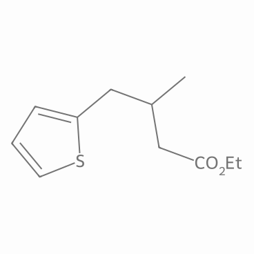 CCOC(=O)CC(C)Cc1cccs1